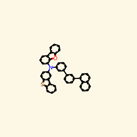 c1cc(-c2cccc(N(c3ccc4sc5ccccc5c4c3)c3cccc4c3oc3ccccc34)c2)cc(-c2cccc3ccccc23)c1